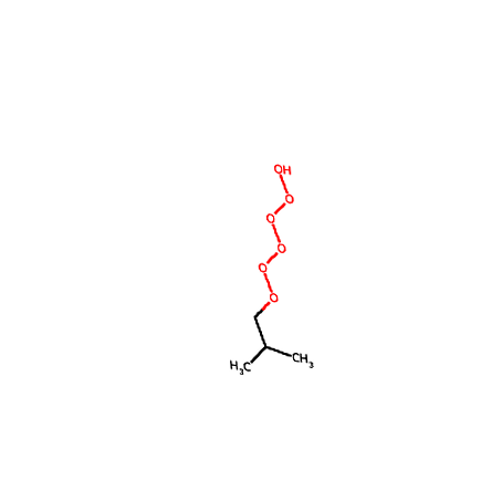 CC(C)COOOOOO